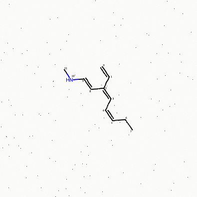 C=CC(=C/C=C\CC)/C=C/NC